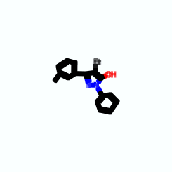 CCc1c(-c2cccc(C)c2)nn(-c2ccccc2)c1O